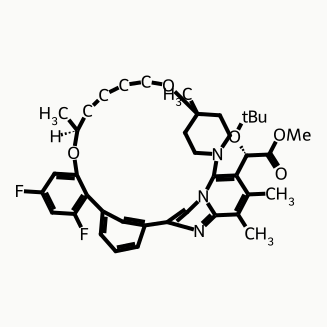 COC(=O)[C@@H](OC(C)(C)C)c1c(C)c(C)c2nc3cn2c1N1CCC(C)(CC1)OCCCC[C@H](C)Oc1cc(F)cc(F)c1-c1cccc-3c1